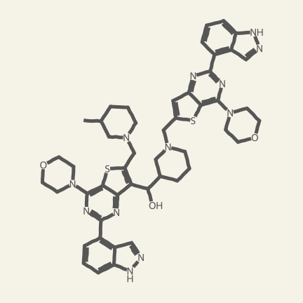 CC1CCCN(Cc2sc3c(N4CCOCC4)nc(-c4cccc5[nH]ncc45)nc3c2C(O)C2CCCN(Cc3cc4nc(-c5cccc6[nH]ncc56)nc(N5CCOCC5)c4s3)C2)C1